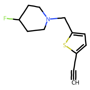 C#Cc1ccc(CN2CCC(F)CC2)s1